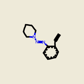 C#Cc1ccccc1/N=N/N1CCCCC1